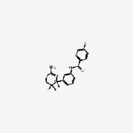 C[C@]1(c2cccc(NC(=O)c3ccc(Cl)cn3)c2)N=C(N)OCC1(F)F